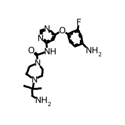 CC(C)(CN)N1CCN(C(=O)Nc2cc(Oc3ccc(N)cc3F)ncn2)CC1